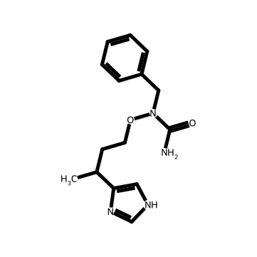 CC(CCON(Cc1ccccc1)C(N)=O)c1c[nH]cn1